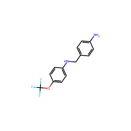 Nc1ccc(CNc2ccc(OC(F)(F)F)cc2)cc1